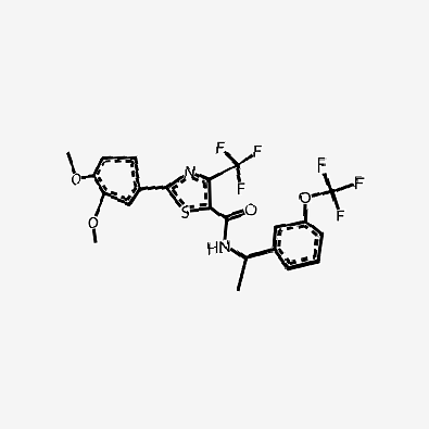 COc1ccc(-c2nc(C(F)(F)F)c(C(=O)NC(C)c3cccc(OC(F)(F)F)c3)s2)cc1OC